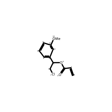 C=CC(=O)OC(CCl)c1cccc(OC)c1